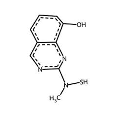 CN(S)c1ncc2cccc(O)c2n1